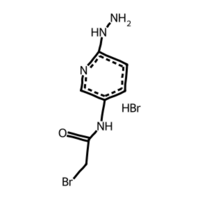 Br.NNc1ccc(NC(=O)CBr)cn1